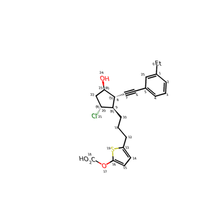 CCc1cccc(C#C[C@@H]2[C@@H](CCCc3ccc(OC(=O)O)s3)[C@H](Cl)C[C@H]2O)c1